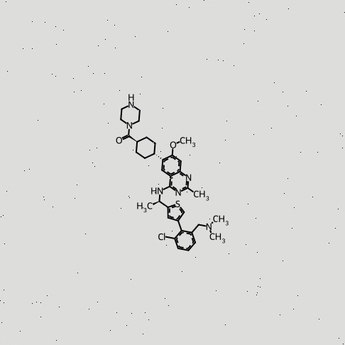 COc1cc2nc(C)nc(N[C@H](C)c3cc(-c4c(Cl)cccc4CN(C)C)cs3)c2cc1[C@H]1CC[C@H](C(=O)N2CCNCC2)CC1